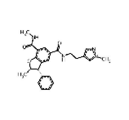 CNC(=O)c1cc(C(=O)NCCc2cnn(C)c2)cc2c1O[C@H](C)[C@H]2c1ccccc1